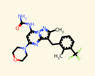 Cc1nn2c(NC(N)=O)cc(N3CCOCC3)nc2c1Cc1cccc(C(F)(F)F)c1C